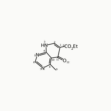 CCOC(=O)c1c[nH]c2ncnc(C)c2c1=O